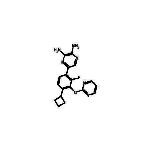 Nc1ncc(-c2ccc(C3CCC3)c(Oc3ncccn3)c2F)nc1N